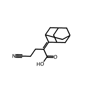 N#CCCC(C(=O)O)=C1C2CC3CC(C2)CC1C3